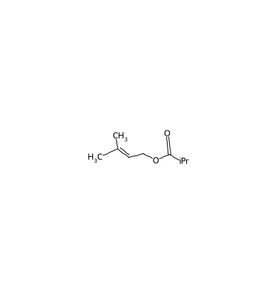 CC(C)=CCOC(=O)C(C)C